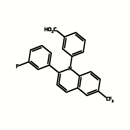 O=C(O)c1cccc(N2C(c3cccc(F)c3)=C=Cc3cc(C(F)(F)F)ccc32)c1